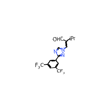 CC(C)/C([C]=O)=C/n1cnc(-c2cc(C(F)(F)F)cc(C(F)(F)F)c2)n1